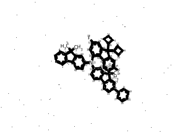 CC1(C)c2ccccc2-c2ccc(N(c3ccc4c(c3)C(C)(C)c3cc(-c5ccccc5)ccc3-4)c3cc(F)cc4c3-c3ccc(F)cc3C4(C3CCC3)C3CCC3)cc21